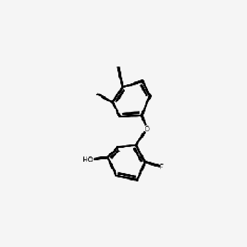 Cc1ccc(Oc2cc(O)ccc2F)cc1C